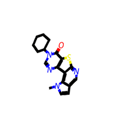 Cn1ccc2cnc3sc4c(=O)n(C5CCCCC5)cnc4c3c21